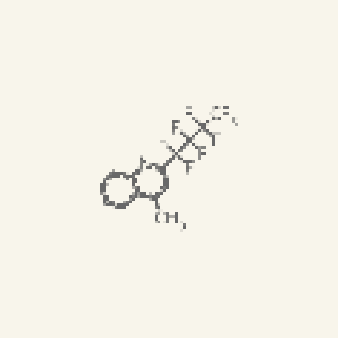 Cc1cc(C(F)(F)C(F)(F)C(F)(F)C(F)(F)F)nc2ccccc12